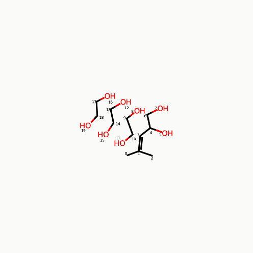 CC(C)=CC(O)CO.OCCO.OCCO.OCCO